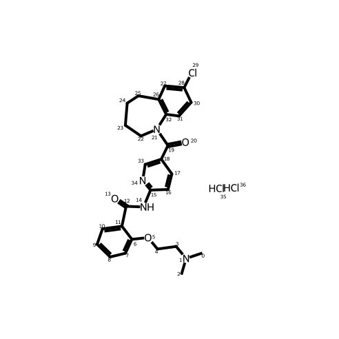 CN(C)CCOc1ccccc1C(=O)Nc1ccc(C(=O)N2CCCCc3cc(Cl)ccc32)cn1.Cl.Cl